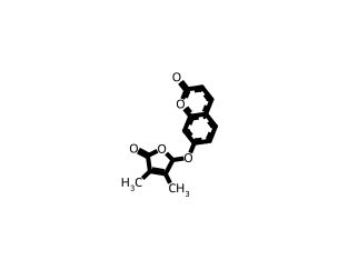 CC1=C(C)C(Oc2ccc3ccc(=O)oc3c2)OC1=O